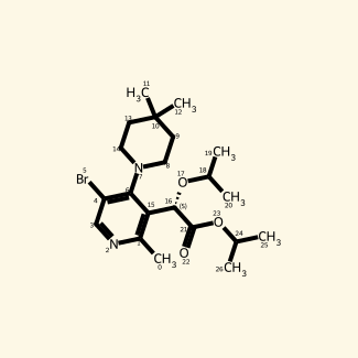 Cc1ncc(Br)c(N2CCC(C)(C)CC2)c1[C@H](OC(C)C)C(=O)OC(C)C